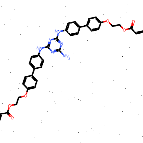 C=CC(=O)OCCOc1ccc(-c2ccc(Nc3nc(N)nc(Nc4ccc(-c5ccc(OCCOC(=O)C=C)cc5)cc4)n3)cc2)cc1